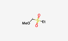 CCS(=O)(=O)[CH]OC